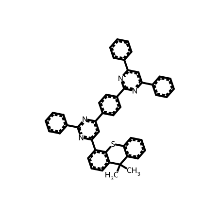 CC1(C)c2ccccc2Sc2c(-c3cc(-c4ccc(-c5nc(-c6ccccc6)cc(-c6ccccc6)n5)cc4)nc(-c4ccccc4)n3)cccc21